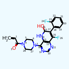 C=CC(=O)N1CCN(c2ncnc3c2NC(O)C(c2ccccc2F)=C3F)CC1